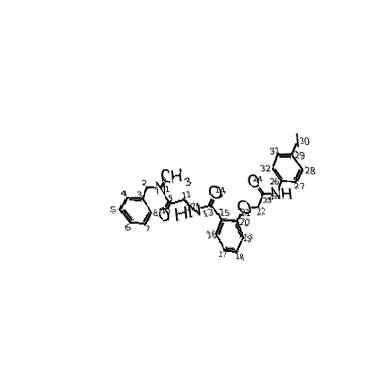 CN(Cc1ccccc1)C(=O)CNC(=O)c1ccccc1OCC(=O)Nc1ccc(I)cc1